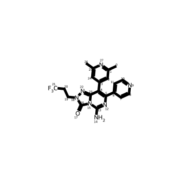 Cc1cc(-c2c(-c3ccncc3)nc(N)n3c(=O)n(CCC(F)(F)F)nc23)cc(C)n1